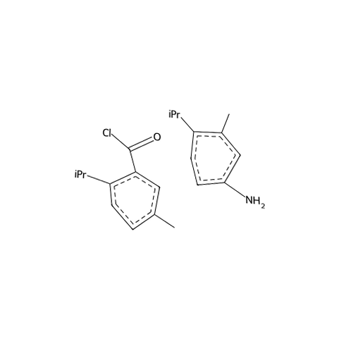 Cc1cc(N)ccc1C(C)C.Cc1ccc(C(C)C)c(C(=O)Cl)c1